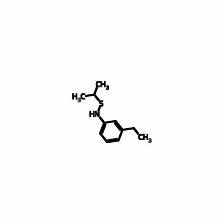 CCc1cccc(NSC(C)C)c1